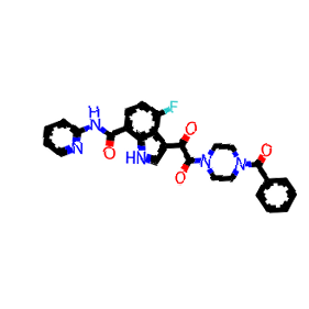 O=C(Nc1ccccn1)c1ccc(F)c2c(C(=O)C(=O)N3CCN(C(=O)c4ccccc4)CC3)c[nH]c12